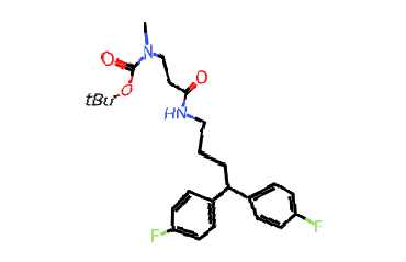 CN(CCC(=O)NCCCC(c1ccc(F)cc1)c1ccc(F)cc1)C(=O)OC(C)(C)C